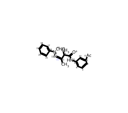 CC(=O)c1cccc(NC(=O)C(C)/C(C)=N\N(C=O)c2ccccc2)c1